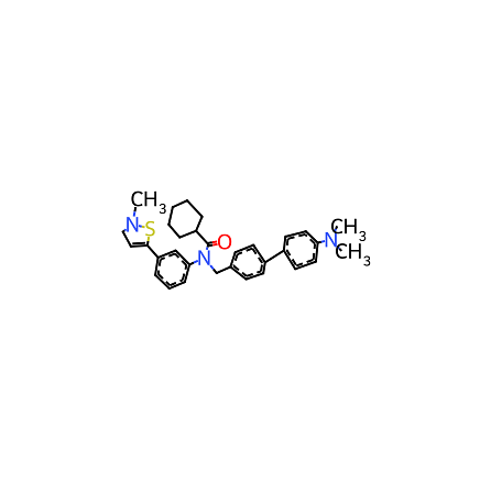 CN1CC=C(c2cccc(N(Cc3ccc(-c4ccc(N(C)C)cc4)cc3)C(=O)C3CCCCC3)c2)S1